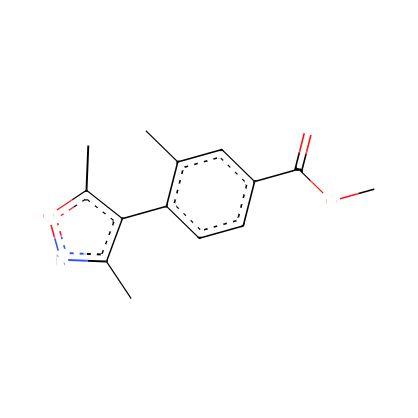 COC(=O)c1ccc(-c2c(C)noc2C)c(C)c1